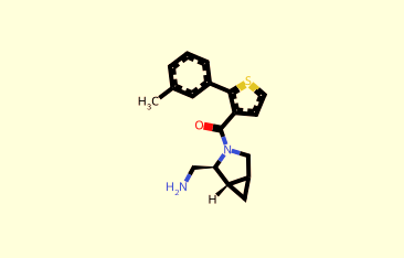 Cc1cccc(-c2sccc2C(=O)N2CC3C[C@@H]3[C@H]2CN)c1